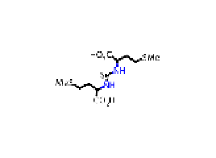 CSCCC(N[Se]NC(CCSC)C(=O)O)C(=O)O